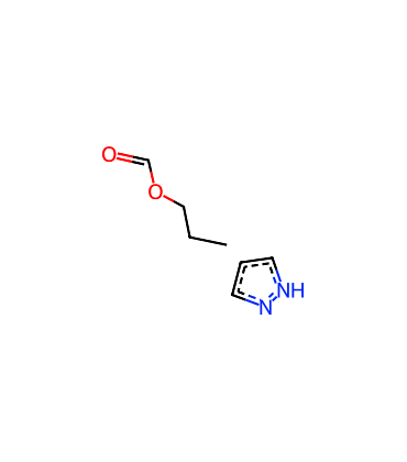 CCCOC=O.c1cn[nH]c1